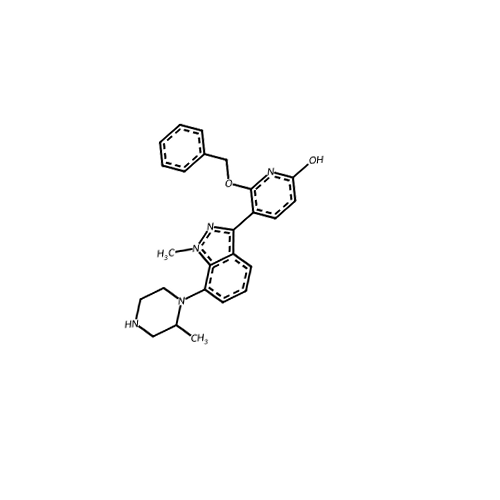 CC1CNCCN1c1cccc2c(-c3ccc(O)nc3OCc3ccccc3)nn(C)c12